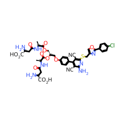 C[C@H](NC(=O)C[C@H](N)C(=O)O)C(=O)OC[C@H](COc1ccc(-c2c(C#N)c(N)nc(SCc3coc(-c4ccc(Cl)cc4)n3)c2C#N)cc1)OC(=O)[C@H](C)NC(=O)C[C@H](N)C(=O)O